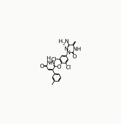 C=C1NC(=O)N(c2cc(Cl)c(Oc3n[nH]c(=O)cc3-c3cccc(C)c3)c(Cl)c2)N=C1N